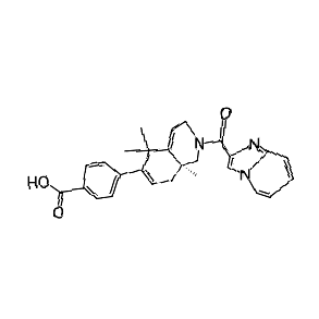 CC1(C)C(c2ccc(C(=O)O)cc2)=CC[C@]2(C)CN(C(=O)c3cn4ccccc4n3)CC=C12